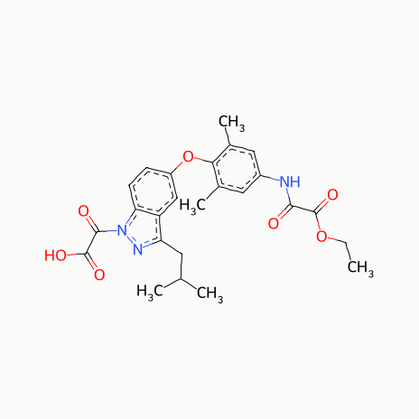 CCOC(=O)C(=O)Nc1cc(C)c(Oc2ccc3c(c2)c(CC(C)C)nn3C(=O)C(=O)O)c(C)c1